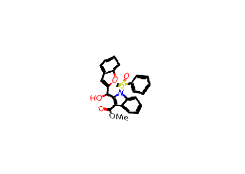 C=S(=O)(c1ccccc1)n1c(C(O)c2cc3ccccc3o2)c(C(=O)OC)c2ccccc21